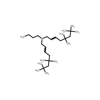 CCCCN(CC=CCC(C)(C)CC(C)(C)C)CC=CCC(C)(C)CC(C)(C)C